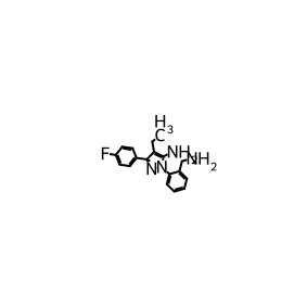 CCc1c(-c2ccc(F)cc2)nn(-c2ccccc2CN)c1N